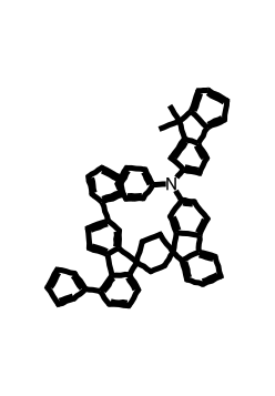 CC1(C)c2ccccc2-c2ccc(N(c3ccccc3)c3ccc4c(c3)C3(CCC5(CC3)c3cc(-c6ccccc6)ccc3-c3c(-c6ccccc6)cccc35)c3ccccc3-4)cc21